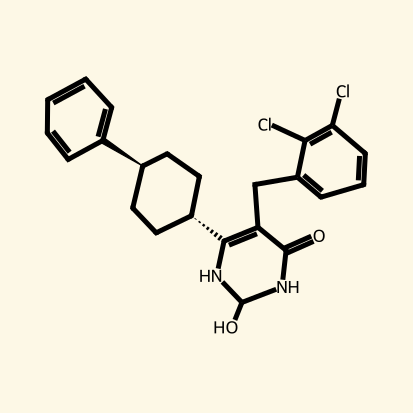 O=C1NC(O)NC([C@H]2CC[C@H](c3ccccc3)CC2)=C1Cc1cccc(Cl)c1Cl